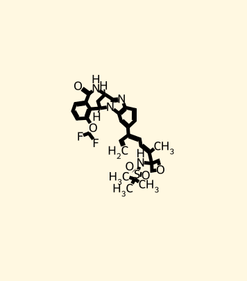 C=C/C(=C\C=C(/C)C1(NS(=O)(=O)C(C)(C)C)COC1)c1ccc2nc3n(c2c1)[C@@H]1C[C@H]3NC(=O)c2cccc(OC(F)F)c21